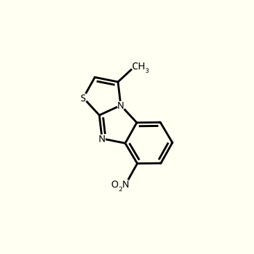 Cc1csc2nc3c([N+](=O)[O-])cccc3n12